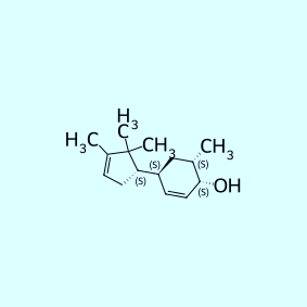 CC1=CC[C@@H]([C@@H]2C=C[C@@H](O)[C@@H](C)C2)C1(C)C